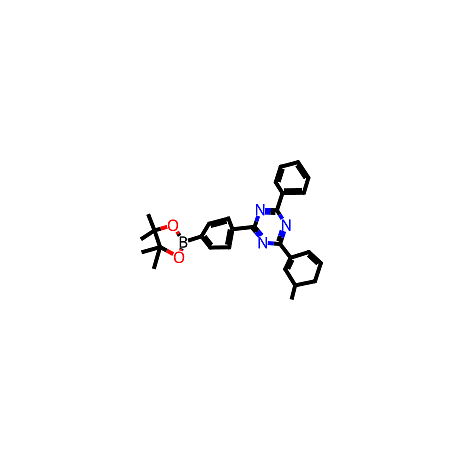 CC1C=C(c2nc(-c3ccccc3)nc(-c3ccc(B4OC(C)(C)C(C)(C)O4)cc3)n2)C=CC1